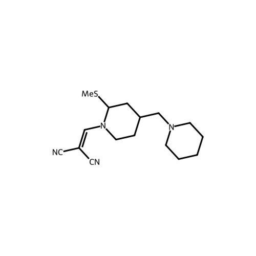 CSC1CC(CN2CCCCC2)CCN1C=C(C#N)C#N